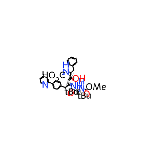 COC(=O)N[C@H](C(=O)N[C@@H](C[C@@H](O)[C@H](Cc1ccccc1)NC(=O)O)C(c1ccc(-c2ccccn2)cc1)C(C)(C)C)C(C)(C)C